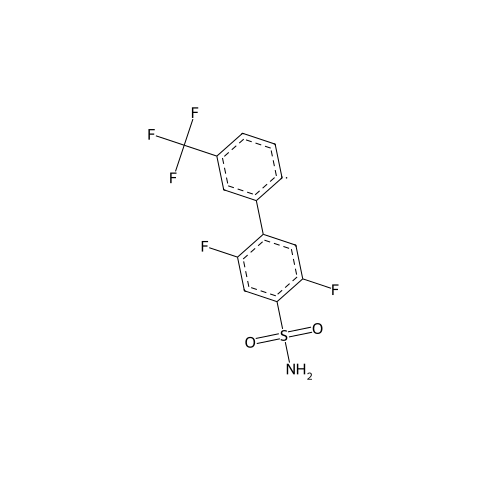 NS(=O)(=O)c1cc(F)c(-c2[c]ccc(C(F)(F)F)c2)cc1F